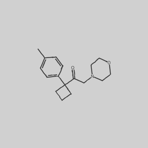 Cc1ccc(C2(C(=O)CN3CCOCC3)CCC2)cc1